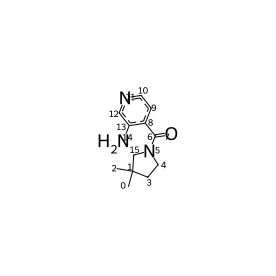 CC1(C)CCN(C(=O)c2ccncc2N)C1